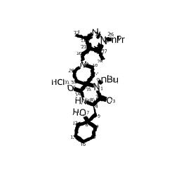 CCCCN1C(=O)[C@@H](CC2(O)CCCCC2)NC(=O)C12CCN(Cc1c(C)nn(CCC)c1C)CC2.Cl